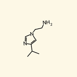 CC(C)c1cn(CCN)cn1